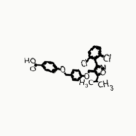 CC(C)c1onc(-c2c(Cl)cccc2Cl)c1COc1ccc(COc2ccc(C(=O)O)cc2)cc1